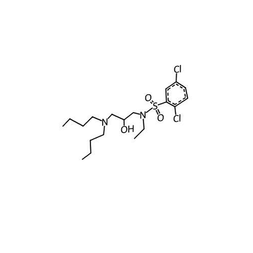 CCCCN(CCCC)CC(O)CN(CC)S(=O)(=O)c1cc(Cl)ccc1Cl